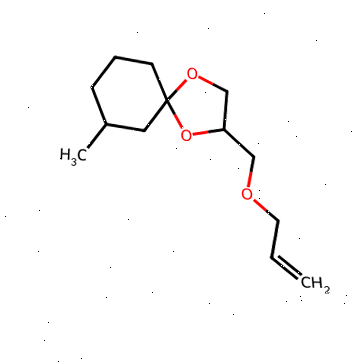 C=CCOCC1COC2(CCCC(C)C2)O1